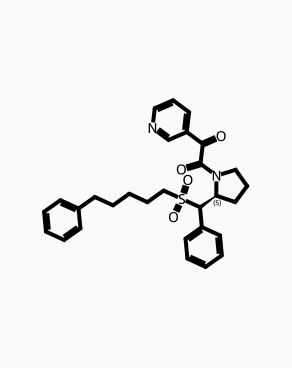 O=C(C(=O)N1CCC[C@H]1C(c1ccccc1)S(=O)(=O)CCCCCc1ccccc1)c1cccnc1